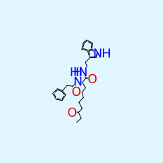 CCC(=O)CCCCCC(NC(=O)Cc1ccccc1)C(=O)NCCc1c[nH]c2ccccc12